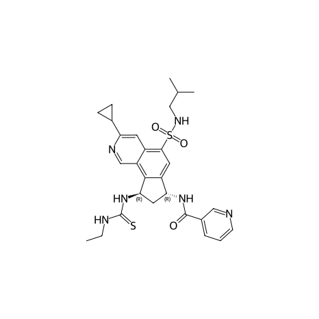 CCNC(=S)N[C@@H]1C[C@@H](NC(=O)c2cccnc2)c2cc(S(=O)(=O)NCC(C)C)c3cc(C4CC4)ncc3c21